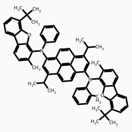 Cc1ccccc1N(c1cc(C(C)C)c2ccc3c(N(c4ccccc4)c4c(C)ccc5c4oc4c(C(C)(C)C)cccc45)cc(C(C)C)c4ccc1c2c43)c1c(C)ccc2c1oc1c(C(C)(C)C)cccc12